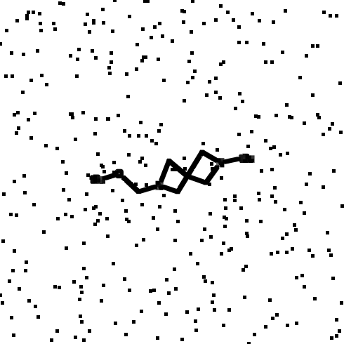 CC(C)(C)OCN1CC2(C1)CN(C(C)(C)C)C2